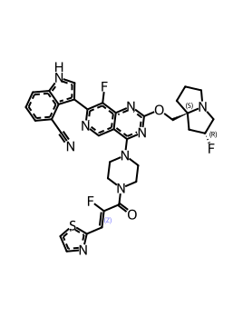 N#Cc1cccc2[nH]cc(-c3ncc4c(N5CCN(C(=O)/C(F)=C/c6nccs6)CC5)nc(OC[C@@]56CCCN5C[C@H](F)C6)nc4c3F)c12